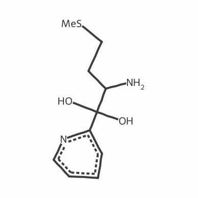 CSCCC(N)C(O)(O)c1ccccn1